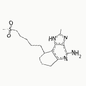 Cc1nc2c(N)nc3c(c2[nH]1)C(CCCCCS(C)(=O)=O)CCC3